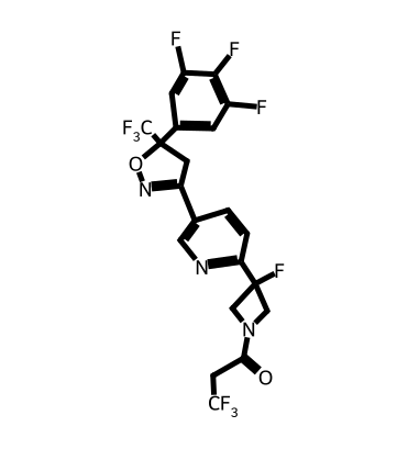 O=C(CC(F)(F)F)N1CC(F)(c2ccc(C3=NOC(c4cc(F)c(F)c(F)c4)(C(F)(F)F)C3)cn2)C1